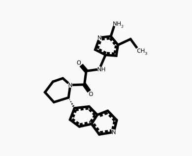 CCc1cc(NC(=O)C(=O)N2CCCC[C@H]2c2ccc3cnccc3c2)cnc1N